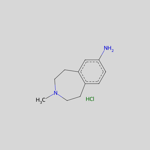 CN1CCc2ccc(N)cc2CC1.Cl